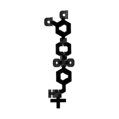 CC(C)(C)NCc1ccc(S(=O)(=O)N2CCN(c3ccc(Cl)c(Cl)c3)CC2)cc1